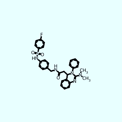 CN(C)C1=Nc2ccccc2C(CC(=O)NCc2ccc(NS(=O)(=O)c3ccc(F)cc3)cc2)N1c1ccccc1